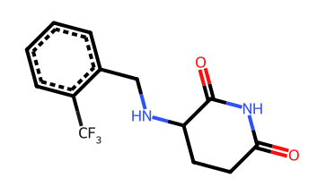 O=C1CCC(NCc2ccccc2C(F)(F)F)C(=O)N1